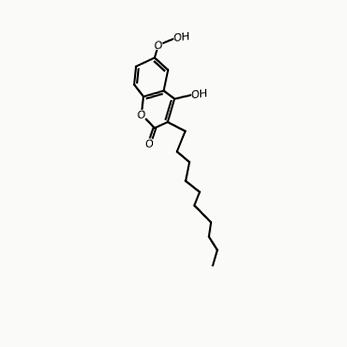 CCCCCCCCCCc1c(O)c2cc(OO)ccc2oc1=O